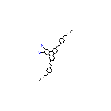 CCCCCCc1ccc(/C=C/c2ccc3c4ccc(/C=C/c5ccc(CCCCCC)cc5)cc4c4cc(C#N)c(C#N)cc4c3c2)cc1